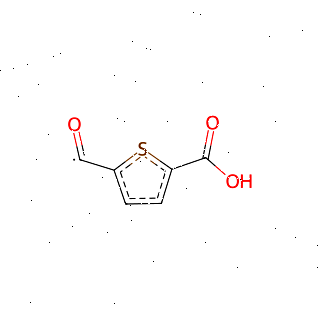 O=[C]c1ccc(C(=O)O)s1